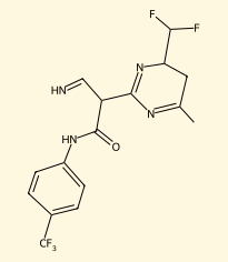 CC1=NC(C(C=N)C(=O)Nc2ccc(C(F)(F)F)cc2)=NC(C(F)F)C1